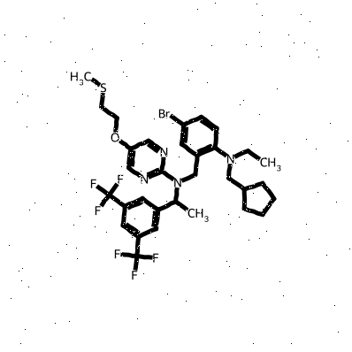 CCN(CC1CCCC1)c1ccc(Br)cc1CN(c1ncc(OCCSC)cn1)C(C)c1cc(C(F)(F)F)cc(C(F)(F)F)c1